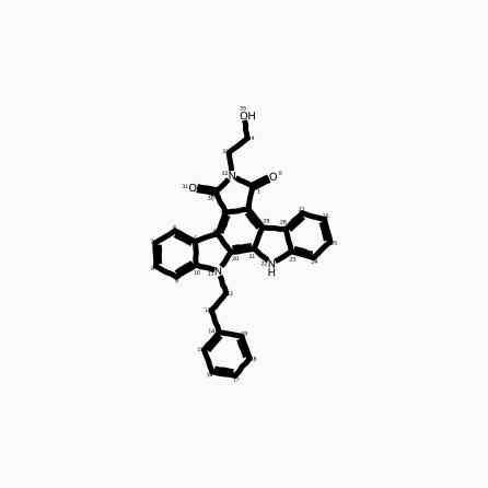 O=C1c2c(c3c4ccccc4n(CCc4ccccc4)c3c3[nH]c4ccccc4c23)C(=O)N1CCO